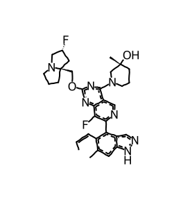 C/C=C\c1c(C)cc2[nH]ncc2c1-c1ncc2c(N3CCC[C@@](C)(O)C3)nc(OC[C@@]34CCCN3C[C@H](F)C4)nc2c1F